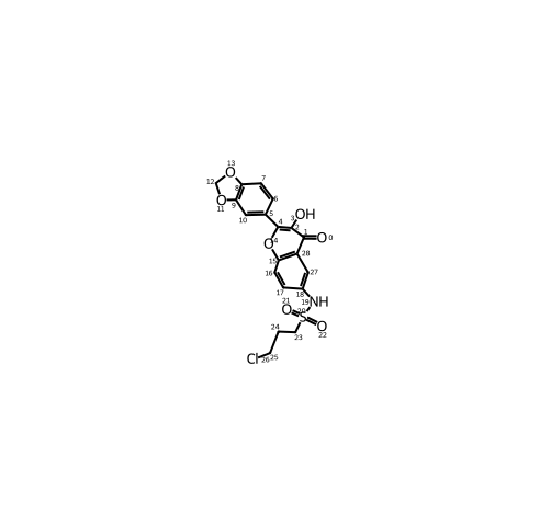 O=c1c(O)c(-c2ccc3c(c2)OCO3)oc2ccc(NS(=O)(=O)CCCCl)cc12